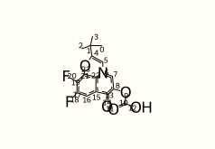 CC(C)(C)C1=Cn2cc(OC(=O)O)c(=O)c3cc(F)c(F)c(c32)O1